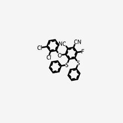 N#Cc1c(F)c(Sc2ccccc2)c(Sc2ccccc2)c(Oc2cccc(Cl)c2Cl)c1C#N